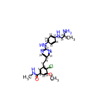 CNC(=O)c1cc(CCc2cnc(Nc3ccc(NC[C@@H](C)N)cc3)nc2)c(Cl)c(OC)c1